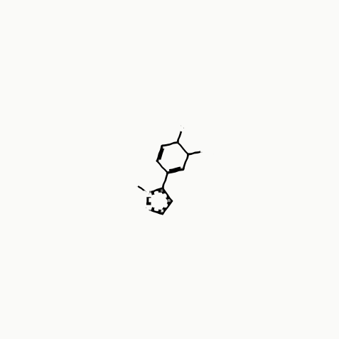 CC1C=C(c2ccnn2C)C=CC1N